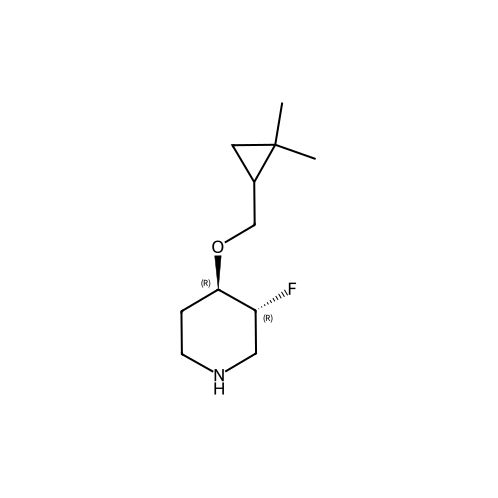 CC1(C)CC1CO[C@@H]1CCNC[C@H]1F